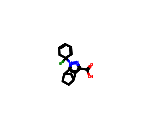 O=C(O)c1nn(C2(Br)C=CC=CC2)c2c1C1CCC2C1